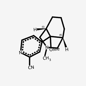 COC1(c2ccnc(C#N)c2)[C@@H]2CCC[C@H]1CN(C)C2